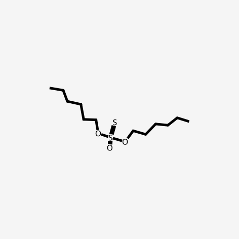 CCCCCCOS(=O)(=S)OCCCCCC